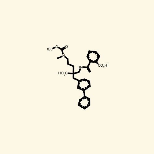 C=C(NCC(CCCN(C)C(=O)OC(C)(C)C)(Cc1cccc(-c2ccccc2)c1)C(=O)O)c1ccccc1C(=O)O